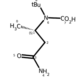 C[C@@H](CC(N)=O)N(C(=O)O)C(C)(C)C